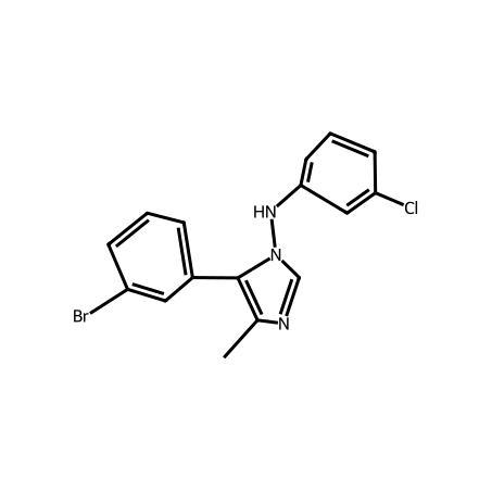 Cc1ncn(Nc2cccc(Cl)c2)c1-c1cccc(Br)c1